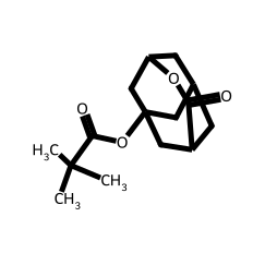 CC(C)(C)C(=O)OC12CC3CC(C1)OC(=O)C(C3)C2